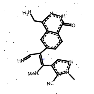 CN/C(=C(\C=N)c1ccc2c(=O)[nH]nc(CN)c2c1)c1cnn(C)c1C#N